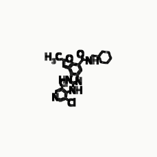 Cc1cc2c(o1)c(C(=O)NCC1CCCCC1)cc1nc(Nc3c(Cl)cncc3Cl)[nH]c12